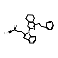 C#CC(=O)CCc1cc2ccccc2n1-c1nc2c(c(CCc3ccccc3)n1)CCCC2